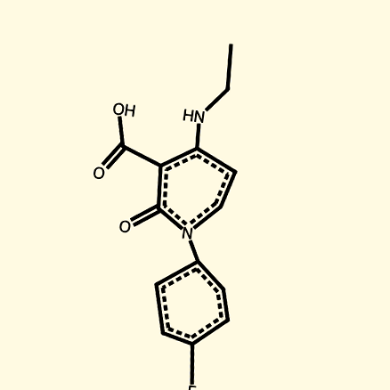 CCNc1ccn(-c2ccc(F)cc2)c(=O)c1C(=O)O